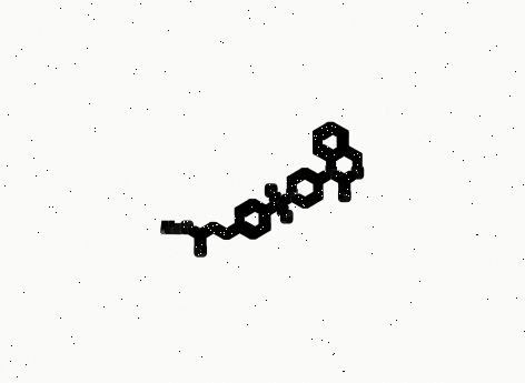 COC(=O)CCc1ccc(S(=O)(=O)N2CCC(N3C(=O)OCc4ccccc43)CC2)cc1